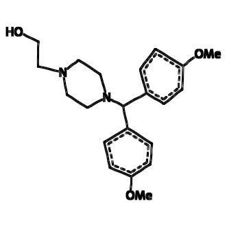 COc1ccc(C(c2ccc(OC)cc2)N2CCN(CCO)CC2)cc1